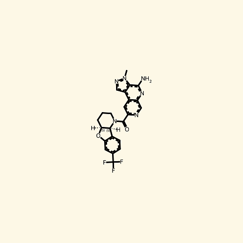 Cn1ncc2c3cc(C(=O)N4CCC[C@@H]5Oc6cc(C(F)(F)F)ccc6[C@@H]54)ncc3nc(N)c21